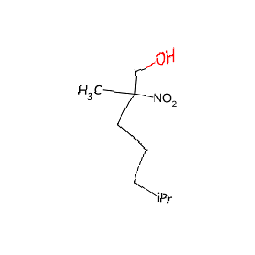 CC(C)CCCC(C)(CO)[N+](=O)[O-]